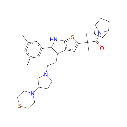 Cc1cc(C)cc(C2Nc3sc(C(C)(C)C(=O)N4C5CCC4CC5)cc3C2CCN2CCC(N3CCSCC3)C2)c1